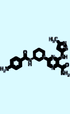 Cc1cc(Nc2nc(N3CCC[C@@H](NC(=O)c4ccc(N)cc4)C3)cnc2C(N)=O)sn1